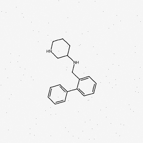 c1ccc(-c2ccccc2CNC2CCCNC2)cc1